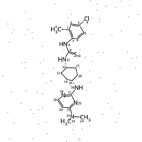 Cc1cc(Cl)ccc1NC(=S)N[C@H]1CC[C@@H](Nc2nccc(N(C)C)n2)CC1